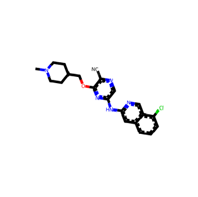 CN1CCC(COc2nc(Nc3cc4cccc(Cl)c4cn3)cnc2C#N)CC1